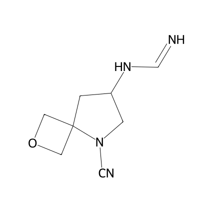 N#CN1CC(NC=N)CC12COC2